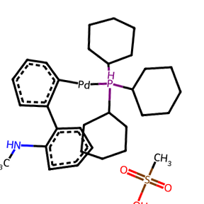 CNc1ccccc1-c1cccc[c]1[Pd][PH](C1CCCCC1)(C1CCCCC1)C1CCCCC1.CS(=O)(=O)O